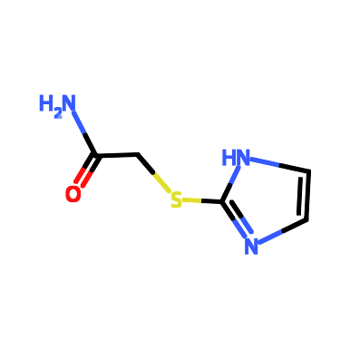 NC(=O)CSc1ncc[nH]1